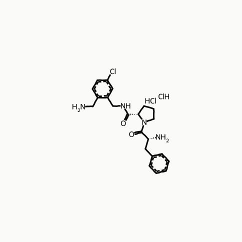 Cl.Cl.NCc1ccc(Cl)cc1CNC(=O)[C@@H]1CCCN1C(=O)[C@H](N)Cc1ccccc1